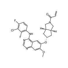 C=CC(=O)N1C[C@H]2C[C@@H](Oc3cc4c(Nc5ccc(F)c(Cl)c5F)ncnc4cc3OC)C[C@H]2C1